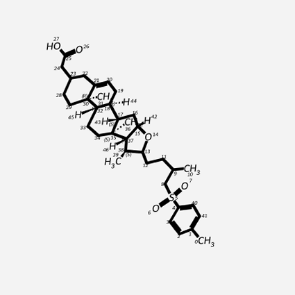 Cc1ccc(S(=O)(=O)CC(C)CCC2O[C@H]3C[C@H]4[C@@H]5CC=C6CC(CC(=O)O)CC[C@]6(C)[C@H]5CC[C@]4(C)[C@H]3[C@@H]2C)cc1